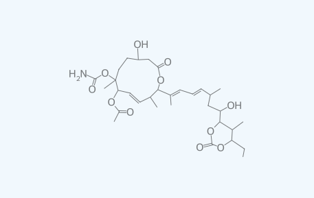 CCC1OC(=O)OC(C(O)CC(C)/C=C/C=C(\C)C2OC(=O)CC(O)CCC(C)(OC(N)=O)C(OC(C)=O)/C=C/C2C)C1C